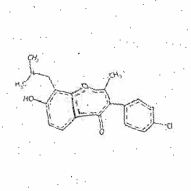 Cc1oc2c(CN(C)C)c(O)ccc2c(=O)c1-c1ccc(Cl)cc1